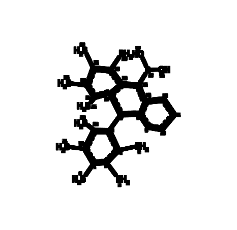 Bc1c(B)c(B)c(-c2c3ccccc3c(B(O)O)c3c(B)c(B)c(B)c(B)c23)c(B)c1B